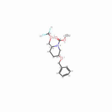 CC(C)(C)OC(=O)N1C[C@@H](OCc2ccccc2)CC[C@H]1COC(F)F